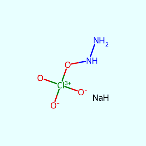 NNO[Cl+3]([O-])([O-])[O-].[NaH]